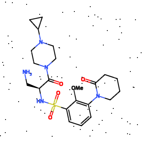 COc1c(N2CCCCC2=O)cccc1S(=O)(=O)N[C@@H](CN)C(=O)N1CCN(C2CC2)CC1